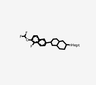 CCCCCCCC1CCC2CC(c3ccc4c(F)c(OC(F)F)ccc4c3)CCC2C1